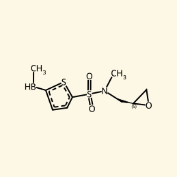 CBc1ccc(S(=O)(=O)N(C)C[C@H]2CO2)s1